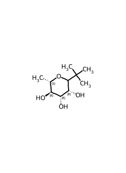 C[C@@H]1OC(C(C)(C)C)[C@H](O)[C@H](O)[C@H]1O